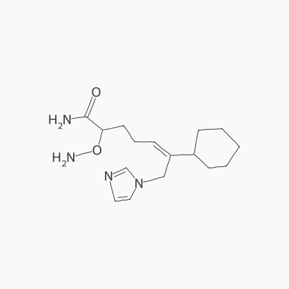 NOC(CCC=C(Cn1ccnc1)C1CCCCC1)C(N)=O